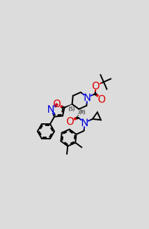 Cc1cccc(CN(C(=O)[C@H]2CN(C(=O)OC(C)(C)C)CC[C@@H]2c2cc(-c3ccccc3)no2)C2CC2)c1C